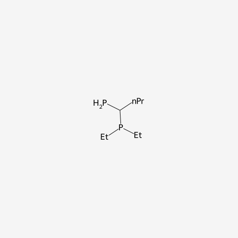 CCCC(P)P(CC)CC